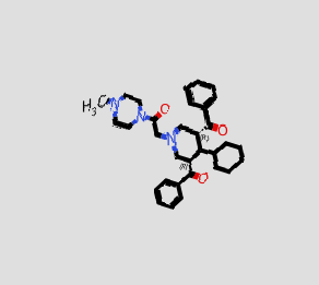 CN1CCN(C(=O)CN2C[C@H](C(=O)c3ccccc3)C(C3CCCCC3)[C@@H](C(=O)c3ccccc3)C2)CC1